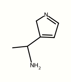 CC(N)C1=CC=NC1